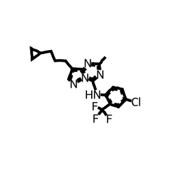 Cc1nc(Nc2ccc(Cl)cc2C(F)(F)F)n2ncc(CCCC3CC3)c2n1